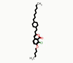 CCCCCCCCC1CCC(CCc2cc3ccc(OCCCCC)c(Cl)c3c(=O)o2)CC1